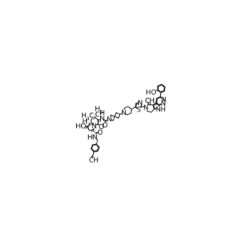 C#Cc1ccc(CNC(=O)[C@@H]2C[C@@H](O)CN2C(=O)[C@@H](NC(=O)N2CC3(CC(N4CCC(c5cnc(N6CCc7[nH]c8nnc(-c9ccccc9O)cc8c7[C@H]6C)s5)CC4)C3)C2)C(C)(C)C)cc1